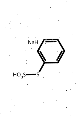 O=S(=O)(O)Sc1ccccc1.[NaH]